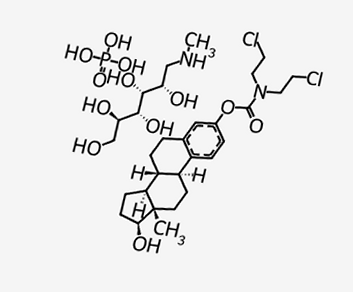 CNC[C@H](O)[C@@H](O)[C@H](O)[C@H](O)CO.C[C@]12CC[C@@H]3c4ccc(OC(=O)N(CCCl)CCCl)cc4CC[C@H]3[C@@H]1CC[C@@H]2O.O=P(O)(O)O